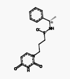 C[C@H](N[S+]([O-])CCCn1ccc(=O)[nH]c1=O)c1ccccc1